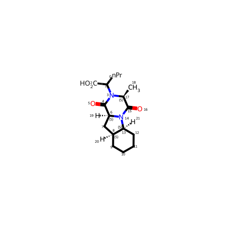 CCCC(C(=O)O)N1C(=O)[C@@H]2C[C@@H]3CCCC[C@@H]3N2C(=O)[C@@H]1C